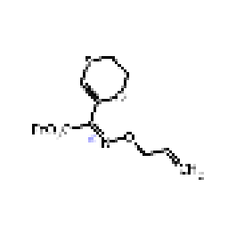 C=CCO/N=C(/C(=O)OCC)C1=CSCCO1